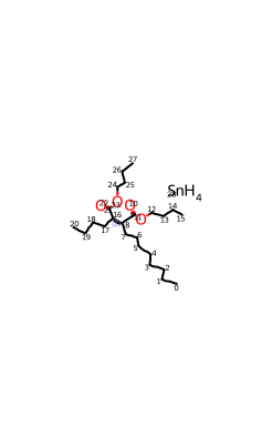 CCCCCCCC/C(C(=O)OCCCC)=C(\CCCC)C(=O)OCCCC.[SnH4]